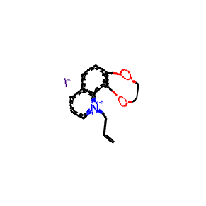 C=CC[n+]1cccc2ccc3c(c21)OCCO3.[I-]